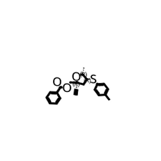 C#C[C@@]1(COC(=O)c2ccccc2)C[C@@H](Sc2ccc(C)cc2)[C@@H](C)O1